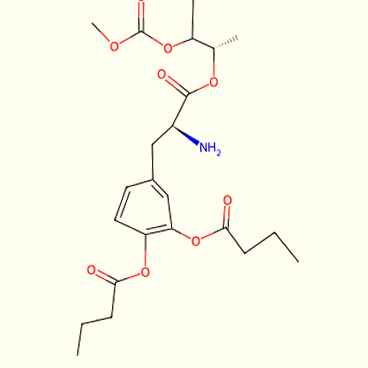 CCCC(=O)Oc1ccc(C[C@H](N)C(=O)O[C@@H](C)C(C)OC(=O)OC)cc1OC(=O)CCC